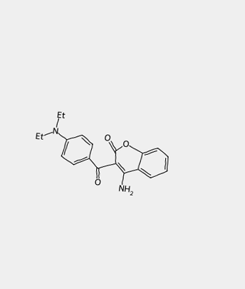 CCN(CC)c1ccc(C(=O)c2c(N)c3ccccc3oc2=O)cc1